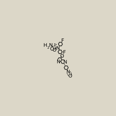 NC(=O)C1(C(=O)N(c2ccc(F)cc2)c2ccc(Oc3ccnc4cc(-c5ccc(N6CCOCC6)cc5)ncc34)c(F)c2)CC1